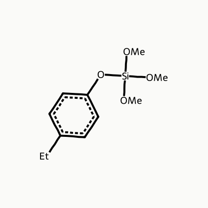 CCc1ccc(O[Si](OC)(OC)OC)cc1